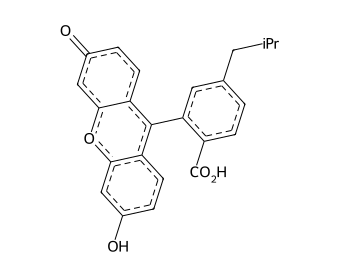 CC(C)Cc1ccc(C(=O)O)c(-c2c3ccc(=O)cc-3oc3cc(O)ccc23)c1